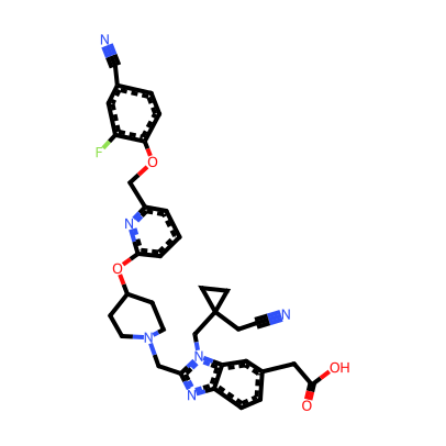 N#CCC1(Cn2c(CN3CCC(Oc4cccc(COc5ccc(C#N)cc5F)n4)CC3)nc3ccc(CC(=O)O)cc32)CC1